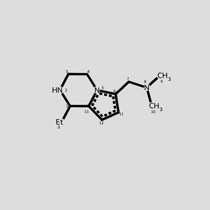 CCC1NCCn2c(CN(C)C)ccc21